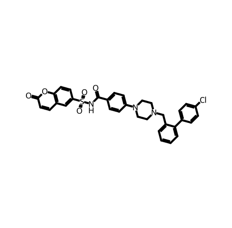 O=C(NS(=O)(=O)c1ccc2oc(=O)ccc2c1)c1ccc(N2CCN(Cc3ccccc3-c3ccc(Cl)cc3)CC2)cc1